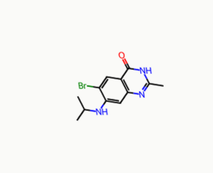 Cc1nc2cc(NC(C)C)c(Br)cc2c(=O)[nH]1